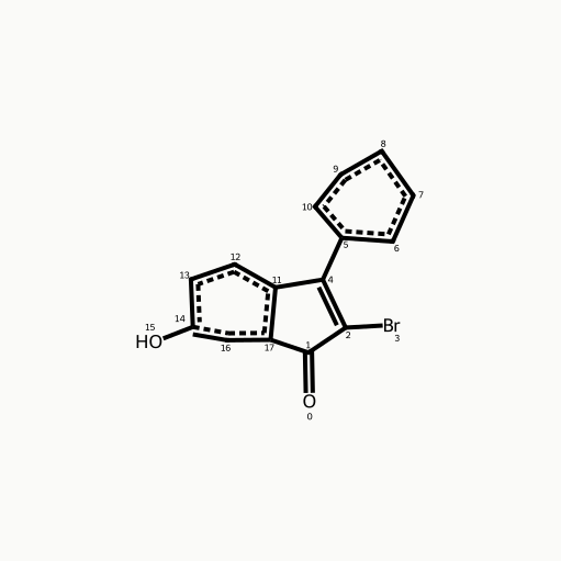 O=C1C(Br)=C(c2ccccc2)c2ccc(O)cc21